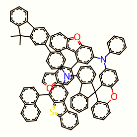 CC1(C)c2ccccc2-c2ccc(-c3ccc(N(c4cc(-c5cccc6ccccc56)c5sc6ccccc6c5c4)c4cccc5c4-c4ccccc4C54c5ccccc5Oc5ccc(N(c6ccccc6)c6cc(-c7ccc8occc8c7)c7c(c6)oc6ccccc67)cc54)cc3)cc21